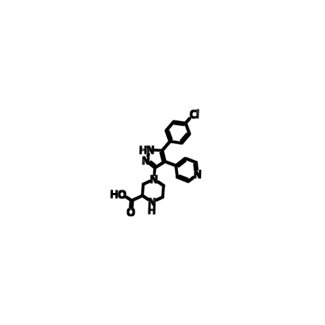 O=C(O)C1CN(c2n[nH]c(-c3ccc(Cl)cc3)c2-c2ccncc2)CCN1